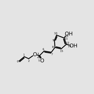 C=CCOC(=O)C=Cc1ccc(O)c(O)c1